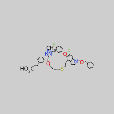 Cn1nc2nc1-c1cc(ccc1F)Oc1c(F)cc3c(ccn3COCc3ccccc3)c1/C=C/SCCCCOC2c1cccc(CCC(=O)O)c1